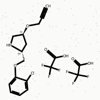 C#CCO[C@@H]1CN[C@@H](COc2ccccc2Cl)C1.O=C(O)C(F)(F)F.O=C(O)C(F)(F)F